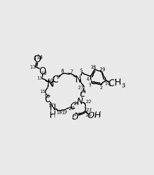 Cc1ccc(CN2CCCN(COC=O)CCNCCCN(CC(=O)O)CC2)cc1